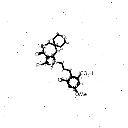 CCc1nn(CCCc2c(Cl)cc(OC)cc2C(=O)O)c2c1C(=O)NCC1(CCOCC1)C2